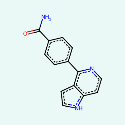 NC(=O)c1ccc(-c2nccc3[nH]ccc23)cc1